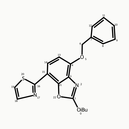 CC(C)COc1nc2c(OCc3ccccc3)ccc(-c3nccs3)c2o1